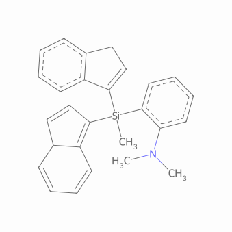 CN(C)c1ccccc1[Si](C)(C1=CCc2ccccc21)C1=C2C=CC=CC2C=C1